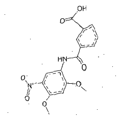 COc1cc(OC)c([N+](=O)[O-])cc1NC(=O)c1cccc(C(=O)O)c1